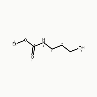 [CH2]COC(=O)NCCCO